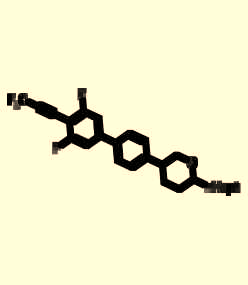 CCCCCCCC1CCC(c2ccc(-c3cc(F)c(C#CC(F)(F)F)c(F)c3)cc2)CO1